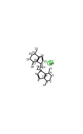 CC1CCC(C)C2=C1C=C[CH]2[Zr+2][CH]1C=CC2=C1C(C)CCC2C.[Cl-].[Cl-]